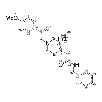 COc1ccc(C(=O)CN2CCN(CC(=O)NCc3ccccc3)CC2)cc1.Cl.Cl